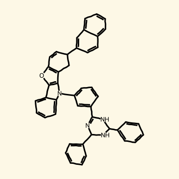 C1=CC(c2ccc3ccccc3c2)Cc2c1oc1c3ccccc3n(-c3cccc(C4=NC(c5ccccc5)NC(c5ccccc5)N4)c3)c21